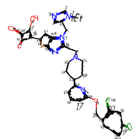 CCn1cncc1Cn1c(CN2CCC(c3cccc(OCc4ccc(Cl)cc4F)n3)CC2)nc2sc(-c3c(O)c(=O)c3=O)cc21